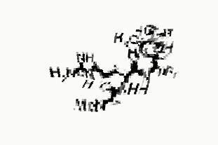 CCC[C@H](NC(=O)[C@H](CCCNC(=N)N)NC(=O)CNC)C(=O)N[C@@H](C)P(=O)(O)O